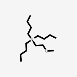 CCCC[N+](CCCC)(CCCC)CCOC